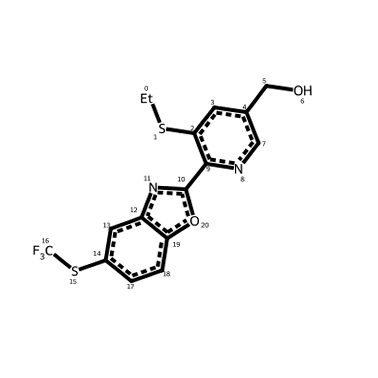 CCSc1cc(CO)cnc1-c1nc2cc(SC(F)(F)F)ccc2o1